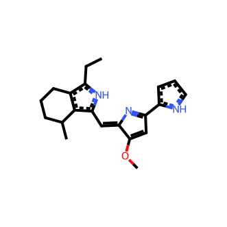 CCc1[nH]c(C=C2N=C(c3ccc[nH]3)C=C2OC)c2c1CCCC2C